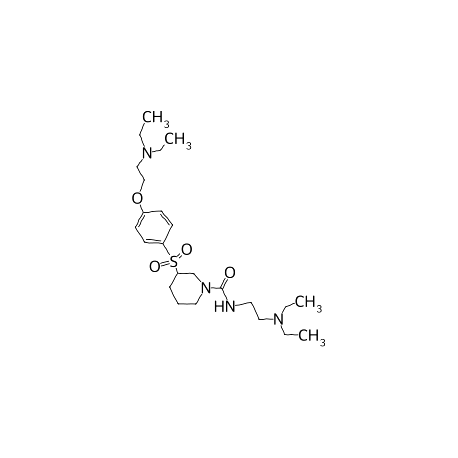 CCN(CC)CCNC(=O)N1CCCC(S(=O)(=O)c2ccc(OCCN(CC)CC)cc2)C1